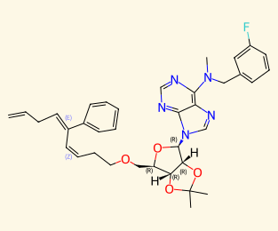 C=CC/C=C(\C=C/CCOC[C@H]1O[C@@H](n2cnc3c(N(C)Cc4cccc(F)c4)ncnc32)[C@@H]2OC(C)(C)O[C@@H]21)c1ccccc1